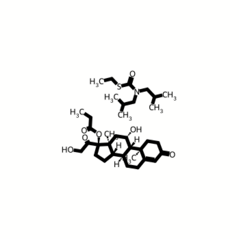 CCC(=O)O[C@]1(C(=O)CO)CC[C@H]2[C@@H]3CCC4=CC(=O)CC[C@]4(C)[C@H]3[C@@H](O)C[C@@]21C.CCSC(=O)N(CC(C)C)CC(C)C